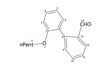 CCCCCOc1ccccc1-c1ccccc1[C]=O